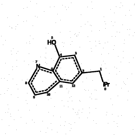 CC(C)Cc1cc(O)c2ncccc2c1